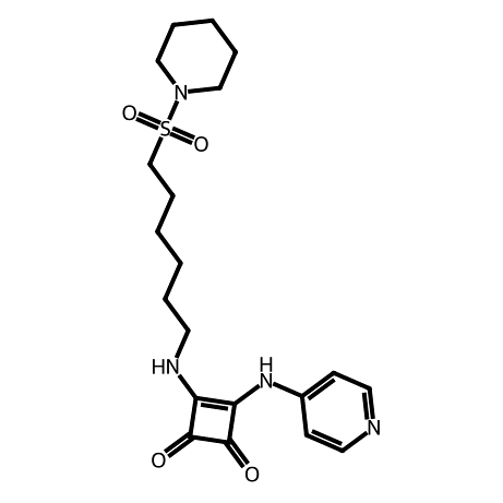 O=c1c(NCCCCCCS(=O)(=O)N2CCCCC2)c(Nc2ccncc2)c1=O